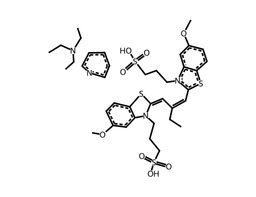 CCC(=Cc1sc2ccc(OC)cc2[n+]1CCCS(=O)(=O)O)C=C1Sc2ccc(OC)cc2N1CCCS(=O)(=O)O.CCN(CC)CC.c1ccncc1